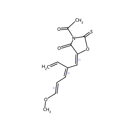 C=CC(=C\C=C\OC)/C=C1/OC(=S)N(C(C)=O)C1=O